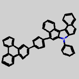 c1ccc(-n2c3ccc4ccccc4c3c3c4ccccc4c(-c4ccc(-c5ccc6c7ccccc7c7ccccc7c6c5)cc4)cc32)cc1